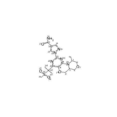 CC1COCC2COc3c(nc(-n4cc(C(N)=O)cn4)nc3C(C)(C)S(C)(=O)=O)N12